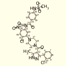 Cc1[nH]nc(-c2ccccc2Cl)c1C(=O)N1CCN(c2cc(NC(=O)c3ccc(NS(C)(=O)=O)cc3)c([N+](=O)[O-])cc2Cl)CC1